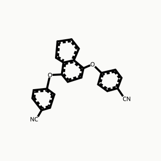 N#Cc1ccc(Oc2ccc(Oc3ccc(C#N)cc3)c3ccccc23)cc1